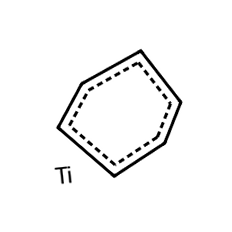 [Ti].c1ccccc1